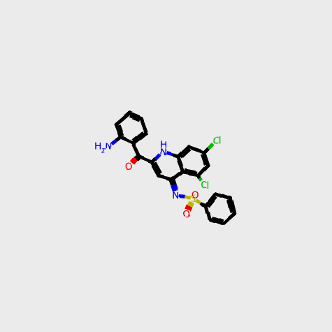 Nc1ccccc1C(=O)c1c/c(=N/S(=O)(=O)c2ccccc2)c2c(Cl)cc(Cl)cc2[nH]1